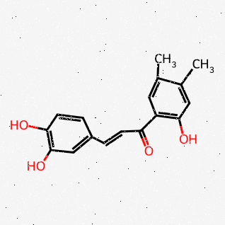 Cc1cc(O)c(C(=O)/C=C/c2ccc(O)c(O)c2)cc1C